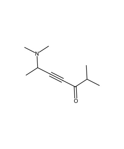 CC(C)C(=O)C#CC(C)N(C)C